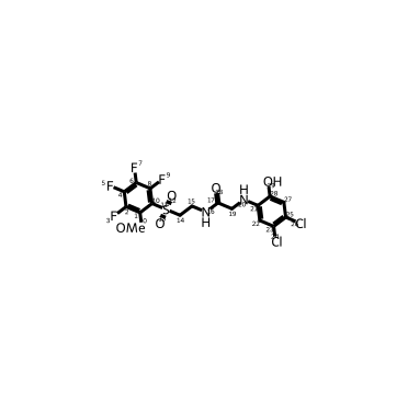 COc1c(F)c(F)c(F)c(F)c1S(=O)(=O)CCNC(=O)CNc1cc(Cl)c(Cl)cc1O